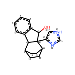 OC1c2ccccc2C2C3CCC(CC3)C12c1c[nH]cn1